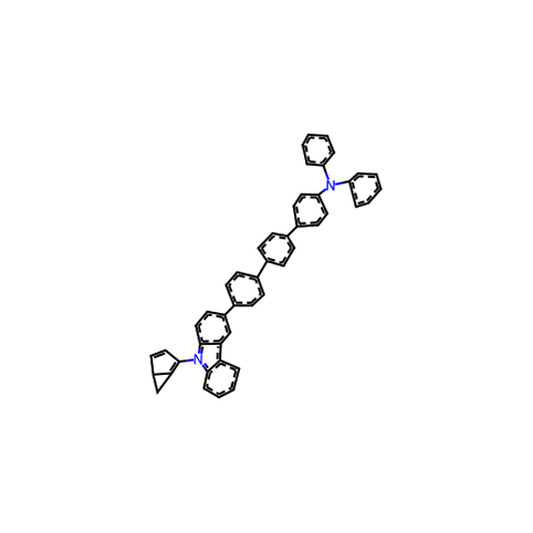 C1=CC2CC2=C1n1c2ccccc2c2cc(-c3ccc(-c4ccc(-c5ccc(N(c6ccccc6)c6ccccc6)cc5)cc4)cc3)ccc21